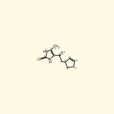 Cc1[nH]c(=O)[nH]c1C(=O)CC1C=CCC1